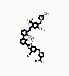 Cc1cc(/C=C/c2cccc(-c3cccc(-c4nc5cc(CN6CC[C@@H](C(=O)O)C6)cc(C#N)c5o4)c3C)c2C)c(C(F)(F)F)cc1CN1CC[C@@H](O)C1